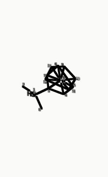 C[SiH](C)[C]12[CH]3[CH]4[CH]5[CH]1[Fe]45321678[CH]2[CH]1[CH]6[CH]7[CH]28